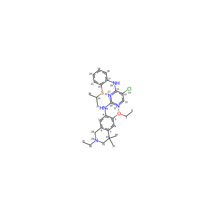 CCOc1cc2c(cc1Nc1ncc(Cl)c(Nc3ccccc3SC(C)C)n1)CN(CC)CC2(C)C